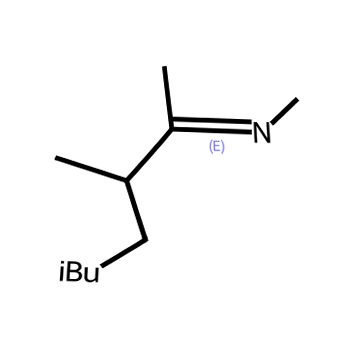 CCC(C)CC(C)/C(C)=N/C